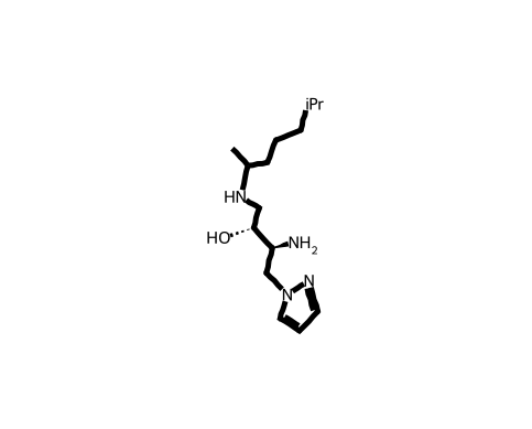 CC(C)CCCC(C)NC[C@@H](O)[C@@H](N)Cn1cccn1